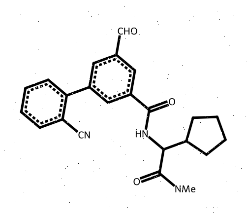 CNC(=O)C(NC(=O)c1cc(C=O)cc(-c2ccccc2C#N)c1)C1CCCC1